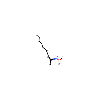 CCCCCCCC(C)=NOC